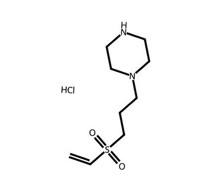 C=CS(=O)(=O)CCCN1CCNCC1.Cl